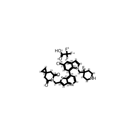 O=C(O)C(F)(F)F.O=C1CC2(CC2)CC(=O)N1Cc1cc2nccc(-c3cc(Cl)cc4ccn(CC5(F)CCNCC5)c34)c2s1